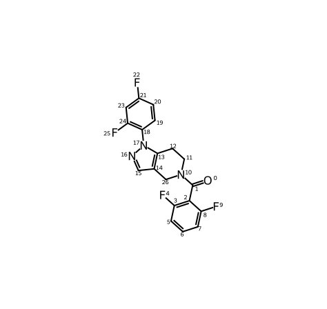 O=C(c1c(F)cccc1F)N1CCc2c(cnn2-c2ccc(F)cc2F)C1